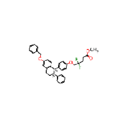 COC(=O)CCC(F)(F)COc1ccc([C@@H]2c3ccc(OCc4ccccc4)cc3CC[C@@H]2c2ccccc2)cc1